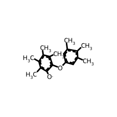 Cc1cc(Oc2c(C)c(C)c(C)c(C)c2[O])cc(C)c1C